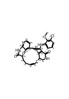 COc1c(Cl)cccc1Nc1c2[nH]c3c1C(=O)NCC3C/C=C\CCC1Oc3c-2ccnc3NC1=O